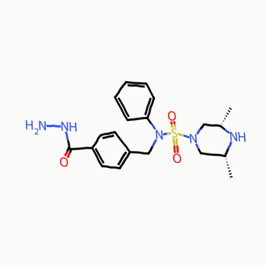 C[C@@H]1CN(S(=O)(=O)N(Cc2ccc(C(=O)NN)cc2)c2ccccc2)C[C@H](C)N1